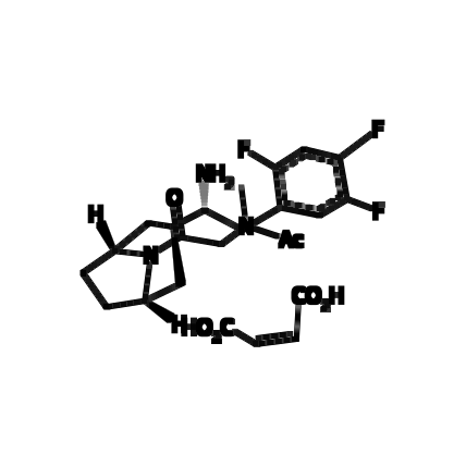 CC(=O)N(C)CC(=O)N1[C@@H]2CC[C@H]1C[C@H]([C@H](N)Cc1cc(F)c(F)cc1F)C2.O=C(O)/C=C\C(=O)O